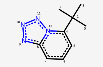 CC(C)(C)c1cccc2nnnn12